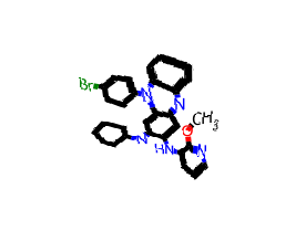 COc1ncccc1Nc1cc2nc3ccccc3n(C3=CC=C(Br)CC3)c-2c/c1=N\C1CCCCC1